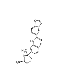 CC1(c2ccc(F)c(NC(=O)c3ccc4occc4c3)c2)CCSC(N)=N1